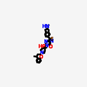 CNC1Cc2ccc(-c3snc4c(=O)n(CC5(O)CCN(C(=O)CC(C)c6ccccc6)CC5)cnc34)cc2C1